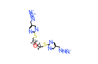 C[Si](C)(CSc1ncc(CN=[N+]=[N-])cn1)O[Si](C)(C)CSc1ncc(CN=[N+]=[N-])cn1